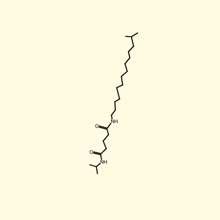 CC(C)CCCCCCCCCCCCNC(=O)CCCC(=O)NC(C)C